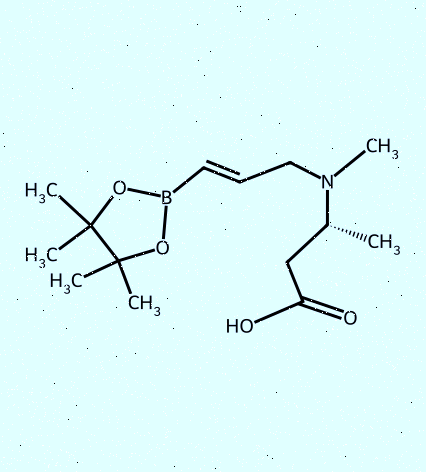 C[C@H](CC(=O)O)N(C)C/C=C/B1OC(C)(C)C(C)(C)O1